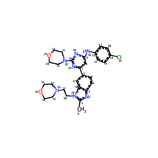 Cc1nc2ccc(-c3cc(Nc4ccc(Cl)cc4)nc(N4CCOCC4)n3)cc2n1CCN1CCOCC1